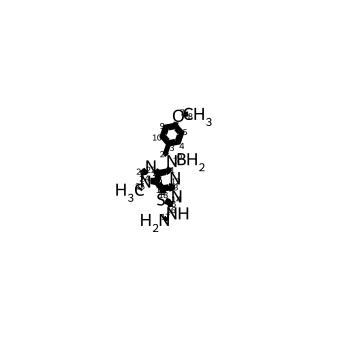 BN(Cc1ccc(OC)cc1)c1nc2nc(NN)sc2c2c1ncn2C